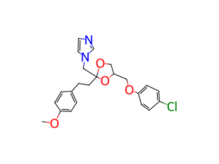 COc1ccc(CCC2(Cn3ccnc3)OCC(COc3ccc(Cl)cc3)O2)cc1